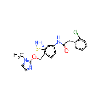 Cn1ccnc1OCc1ccc(NC(=O)Cc2ccccc2Cl)cc1SN